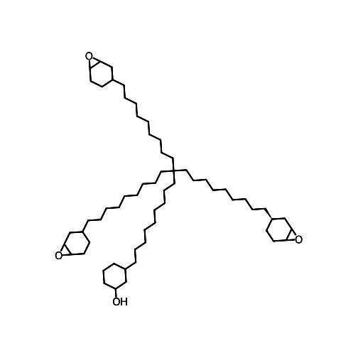 OC1CCCC(CCCCCCCCCC(CCCCCCCCCC2CCC3OC3C2)(CCCCCCCCCC2CCC3OC3C2)CCCCCCCCC[C@@H]2CCC3OC3C2)C1